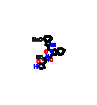 COc1cccc2[nH]c(C(=O)N3CC4(CCCCC4)CC3C(=O)N[C@H](C#N)CC3CCNC3=O)cc12